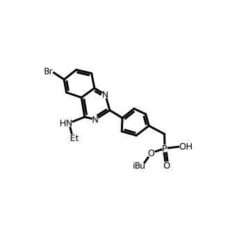 CCNc1nc(-c2ccc(CP(=O)(O)OC(C)CC)cc2)nc2ccc(Br)cc12